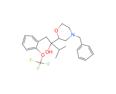 CC(C)C(O)(Cc1ccccc1OC(F)(F)F)C1CN(Cc2ccccc2)CCO1